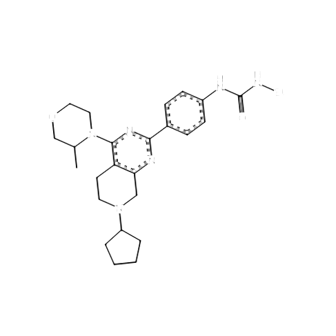 CCNC(=O)Nc1ccc(-c2nc3c(c(N4CCOCC4C)n2)CCN(C2CCCC2)C3)cc1